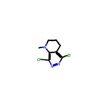 CN1CCCc2c(Cl)nnc(Cl)c21